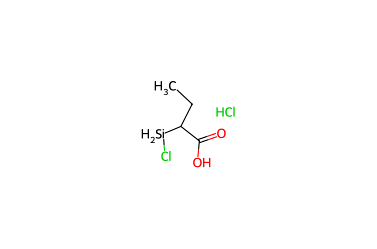 CCC([SiH2]Cl)C(=O)O.Cl